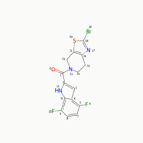 O=C(c1cc2c(F)ccc(F)c2[nH]1)N1CCc2nc(Br)sc2C1